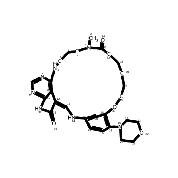 CN1CCCNc2ncnc3c2/C(=C/Nc2ccc(N4CCOCC4)c(c2)OCCCCCC1=O)C(=O)N3